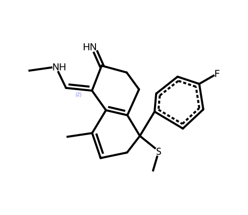 CN/C=C1\C(=N)CCC2=C1C(C)=CCC2(SC)c1ccc(F)cc1